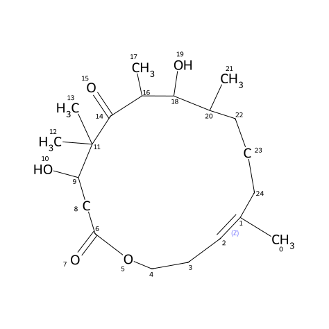 C/C1=C/CCOC(=O)CC(O)C(C)(C)C(=O)C(C)C(O)C(C)CCC1